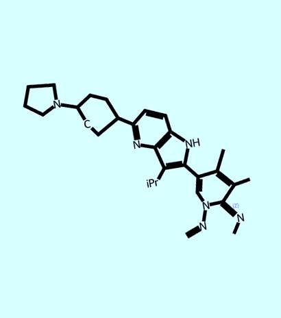 C=Nn1cc(-c2[nH]c3ccc(C4CCC(N5CCCC5)CC4)nc3c2C(C)C)c(C)c(C)/c1=N/C